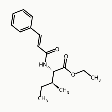 CCOC(=O)[C@@H](NC(=O)C=Cc1ccccc1)[C@@H](C)CC